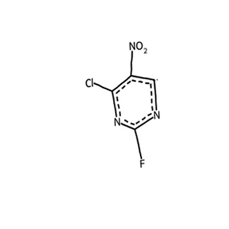 O=[N+]([O-])c1[c]nc(F)nc1Cl